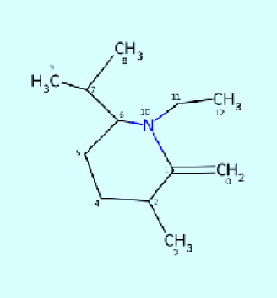 C=C1C(C)CCC(C(C)C)N1CC